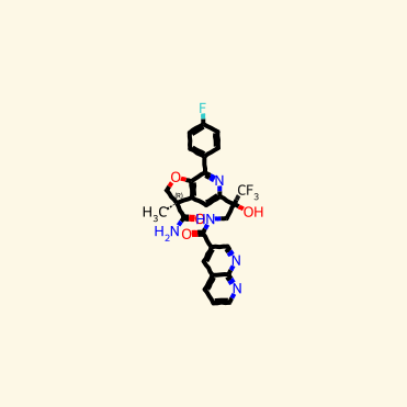 C[C@]1(C(N)=O)COc2c1cc(C(O)(CNC(=O)c1cnc3ncccc3c1)C(F)(F)F)nc2-c1ccc(F)cc1